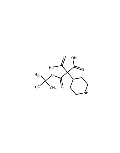 CC(C)(C)OC(=O)C(C(=O)O)(C(=O)O)C1CCNCC1